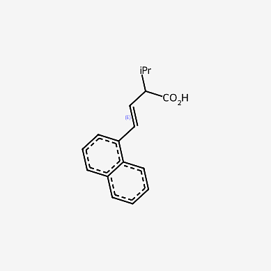 CC(C)C(/C=C/c1cccc2ccccc12)C(=O)O